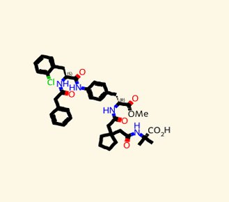 COC(=O)[C@@H](Cc1ccc(NC(=O)[C@H](Cc2ccccc2Cl)NC(=O)Cc2ccccc2)cc1)NC(=O)CC1(CC(=O)NC(C)(C)C(=O)O)CCCC1